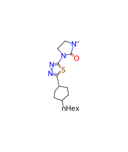 CCCCCCC1CCC(c2nnc(N3CCN(C)C3=O)s2)CC1